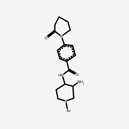 CC(=O)N1CCC(NC(=O)c2ccc(N3CCCCC3=O)cc2)C(N)C1